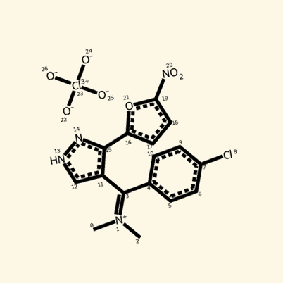 C[N+](C)=C(c1ccc(Cl)cc1)c1c[nH]nc1-c1ccc([N+](=O)[O-])o1.[O-][Cl+3]([O-])([O-])[O-]